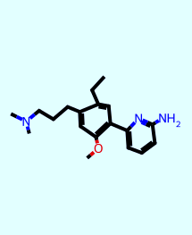 CCc1cc(-c2cccc(N)n2)c(OC)cc1CCCN(C)C